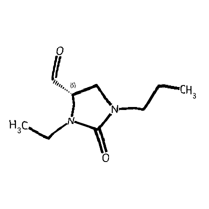 CCCN1C[C@@H](C=O)N(CC)C1=O